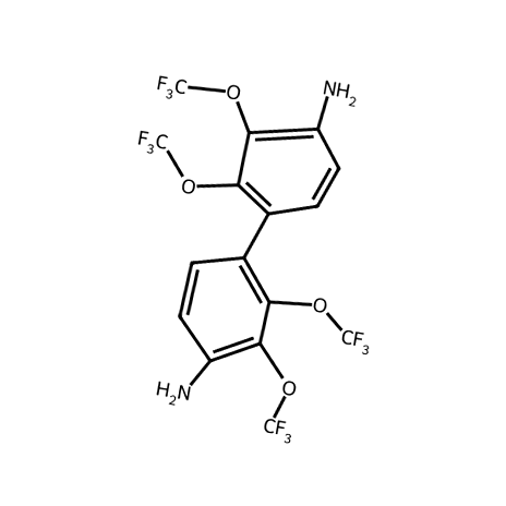 Nc1ccc(-c2ccc(N)c(OC(F)(F)F)c2OC(F)(F)F)c(OC(F)(F)F)c1OC(F)(F)F